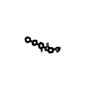 Fc1cc(-c2ccc(C3CCCCC3)cc2)ccc1-c1nc2ccc(-n3cncn3)cc2[nH]1